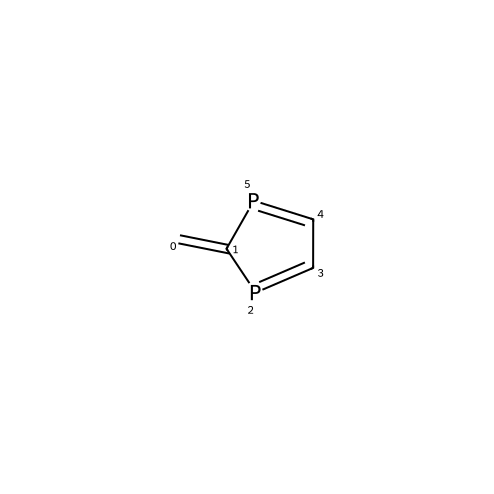 C=C1P=CC=P1